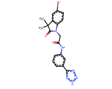 CC1(C)C(=O)N(CC(=O)Nc2cccc(-c3nn[nH]n3)c2)c2ccc(Br)cc21